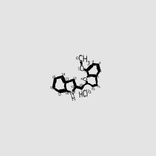 COc1cccc2c1OC(CC1Cc3ccccc3N1)CC2.Cl